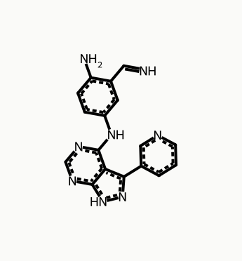 N=Cc1cc(Nc2ncnc3[nH]nc(-c4cccnc4)c23)ccc1N